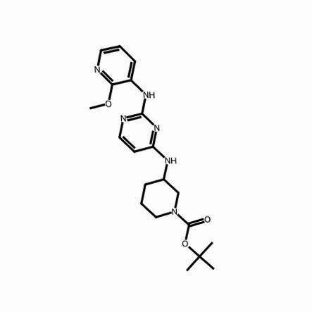 COc1ncccc1Nc1nccc(NC2CCCN(C(=O)OC(C)(C)C)C2)n1